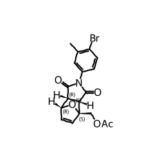 CC(=O)OC[C@@]12C=C[C@@H](O1)[C@@H]1C(=O)N(c3ccc(Br)c(C)c3)C(=O)[C@@H]12